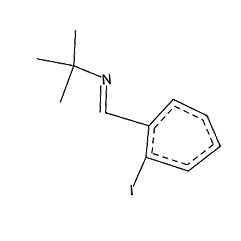 CC(C)(C)N=Cc1ccccc1I